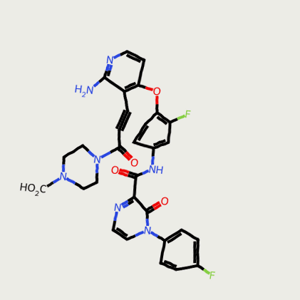 Nc1nccc(Oc2ccc(NC(=O)c3nccn(-c4ccc(F)cc4)c3=O)cc2F)c1C#CC(=O)N1CCN(C(=O)O)CC1